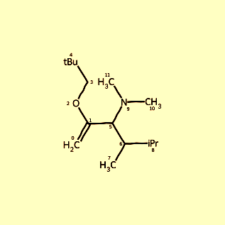 C=C(OCC(C)(C)C)C(C(C)C(C)C)N(C)C